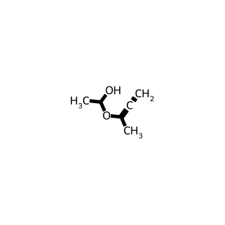 C=C=C(C)OC(C)O